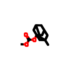 COC(=O)OC12CC3CC(CC(C)(C3)C1)C2